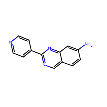 Nc1ccc2cnc(-c3ccncc3)nc2c1